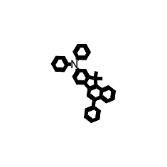 CC1(C)c2cc(N(c3ccccc3)c3ccccc3)ccc2-c2cc(-c3ccccc3)c3ccccc3c21